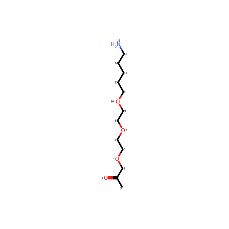 CC(=O)COCCOCCOCCCCCN